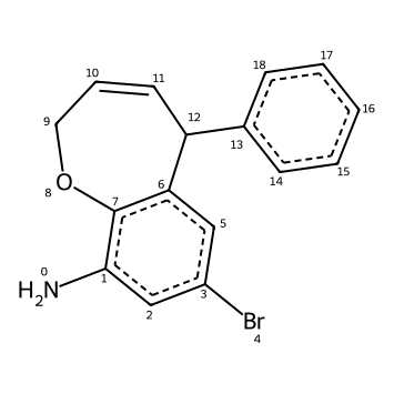 Nc1cc(Br)cc2c1OCC=CC2c1ccccc1